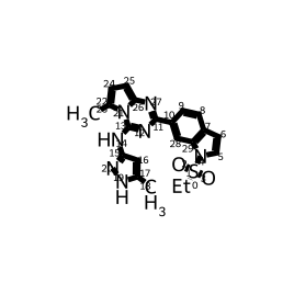 CCS(=O)(=O)n1ccc2ccc(-c3nc(Nc4cc(C)[nH]n4)n4c(C)ccc4n3)cc21